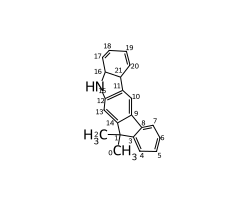 CC1(C)c2ccccc2-c2cc3c(cc21)NC1C=CC=CC31